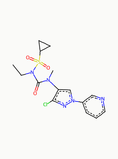 CCN(C(=O)N(C)c1cn(-c2cccnc2)nc1Cl)S(=O)(=O)C1CC1